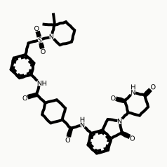 CC1(C)CCCCN1S(=O)(=O)Cc1cccc(NC(=O)C2CCC(C(=O)Nc3cccc4c3CN(C3CCC(=O)NC3=O)C4=O)CC2)c1